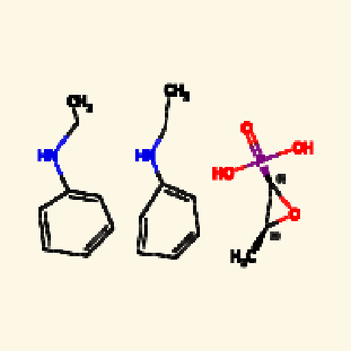 CCNc1ccccc1.CCNc1ccccc1.C[C@@H]1O[C@@H]1P(=O)(O)O